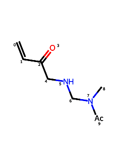 C=CC(=O)CNCN(C)C(C)=O